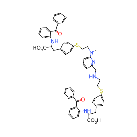 CN(CCSc1ccc(CC(Nc2ccccc2C(=O)c2ccccc2)C(=O)O)cc1)c1cccc(CNCCSc2ccc(CC(Nc3ccccc3C(=O)c3ccccc3)C(=O)O)cc2)n1